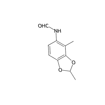 Cc1c(NC=O)ccc2c1OC(C)O2